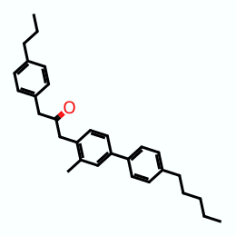 CCCCCc1ccc(-c2ccc(CC(=O)Cc3ccc(CCC)cc3)c(C)c2)cc1